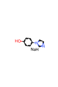 Oc1ccc(-n2ccnc2)cc1.[NaH]